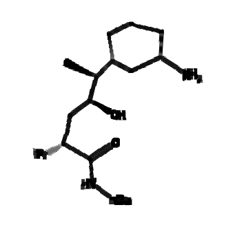 CCCCNC(=O)[C@@H](C[C@H](O)[C@@H](C)C1CCCC(N)C1)C(C)C